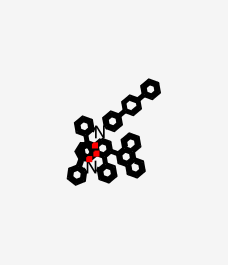 C1=CC(c2ccc(N(c3ccc(-c4ccccc4-n4c5ccccc5c5ccccc54)c(-c4cc5ccccc5c5ccccc45)c3)c3ccccc3-c3ccccc3)cc2)CC=C1c1ccccc1